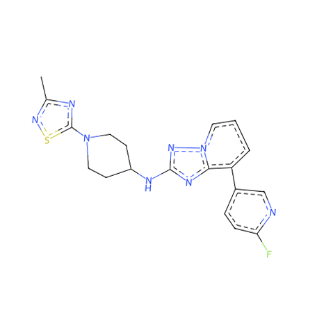 Cc1nsc(N2CCC(Nc3nc4c(-c5ccc(F)nc5)cccn4n3)CC2)n1